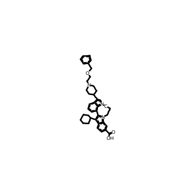 O=C(O)c1ccc2c(C3CCCCC3)c3n(c2c1)CCCn1cc(C2CCN(CCOCc4ccccc4)CC2)c2cccc-3c21